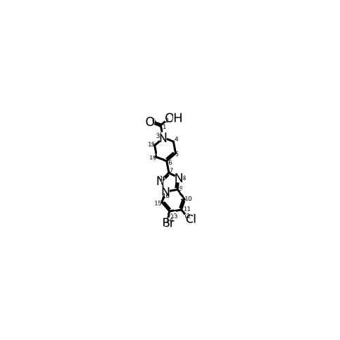 O=C(O)N1CC=C(c2nc3cc(Cl)c(Br)cn3n2)CC1